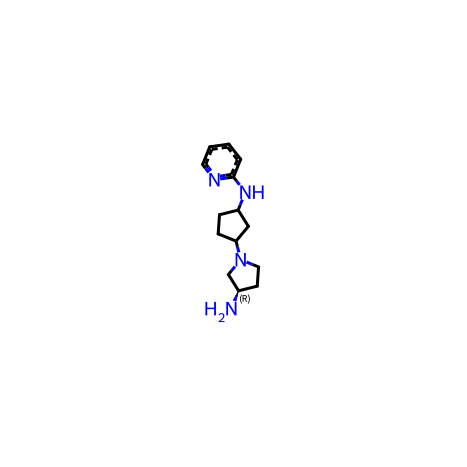 N[C@@H]1CCN(C2CCC(Nc3ccccn3)C2)C1